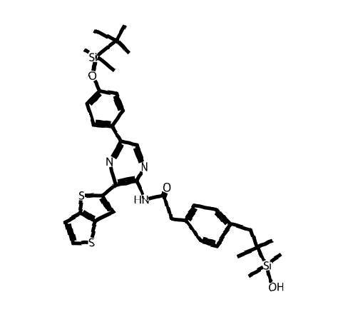 CC(C)(Cc1ccc(CC(=O)Nc2ncc(-c3ccc(O[Si](C)(C)C(C)(C)C)cc3)nc2-c2cc3sccc3s2)cc1)[Si](C)(C)O